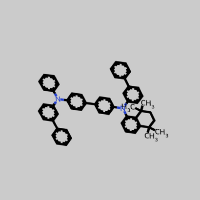 CC1(C)CCC(C)(C)c2c(N(c3ccc(-c4ccc(N(c5ccccc5)c5cccc(-c6ccccc6)c5)cc4)cc3)c3cccc(-c4ccccc4)c3)cccc21